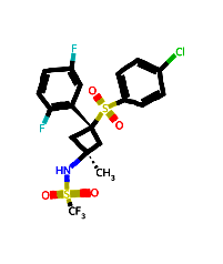 C[C@]1(NS(=O)(=O)C(F)(F)F)C[C@](c2cc(F)ccc2F)(S(=O)(=O)c2ccc(Cl)cc2)C1